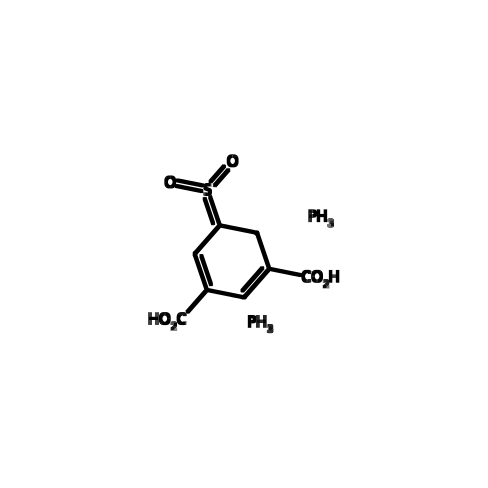 O=C(O)C1=CC(=S(=O)=O)CC(C(=O)O)=C1.P.P